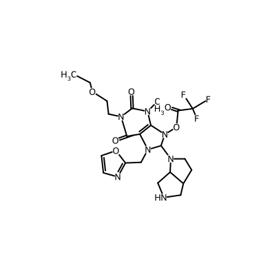 CCOCCn1c(=O)c2c(n(C)c1=O)N(OC(=O)C(F)(F)F)C(N1CCC3CNCC31)N2Cc1ncco1